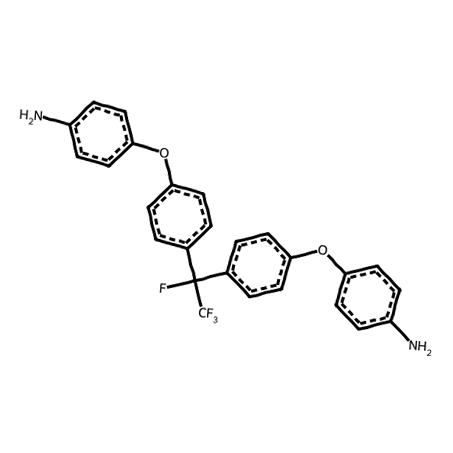 Nc1ccc(Oc2ccc(C(F)(c3ccc(Oc4ccc(N)cc4)cc3)C(F)(F)F)cc2)cc1